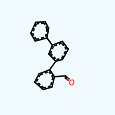 O=Cc1ccccc1-c1cccc(-c2ccccc2)c1